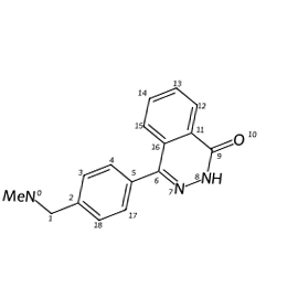 CNCc1ccc(-c2n[nH]c(=O)c3ccccc23)cc1